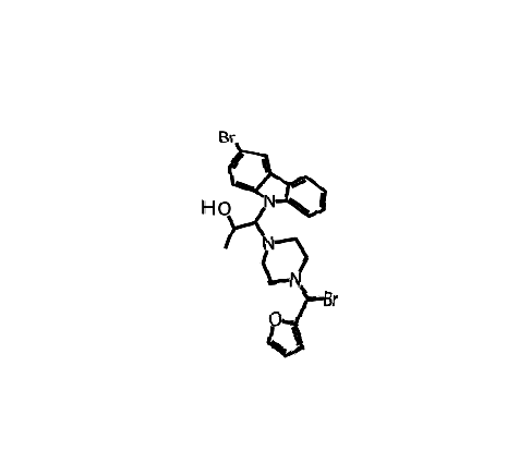 CC(O)C(N1CCN(C(Br)c2ccco2)CC1)n1c2ccccc2c2cc(Br)ccc21